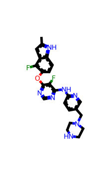 Cc1cc2c(F)c(Oc3ncnc(Nc4ccc(CN5CCNCC5)cn4)c3F)ccc2[nH]1